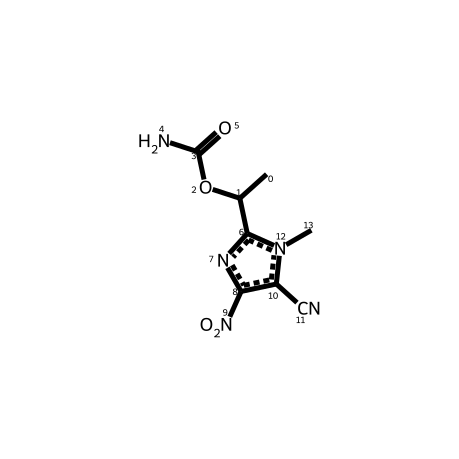 CC(OC(N)=O)c1nc([N+](=O)[O-])c(C#N)n1C